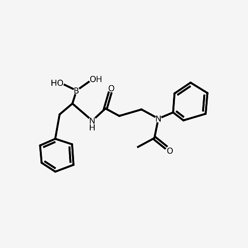 CC(=O)N(CCC(=O)NC(Cc1ccccc1)B(O)O)c1ccccc1